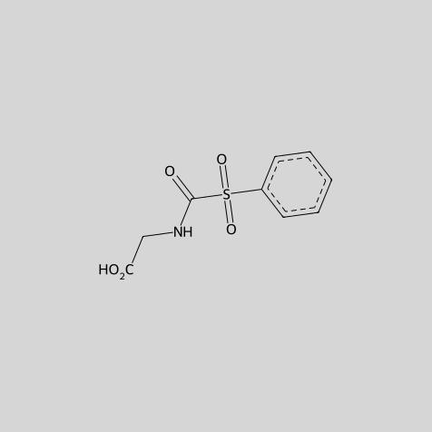 O=C(O)CNC(=O)S(=O)(=O)c1ccccc1